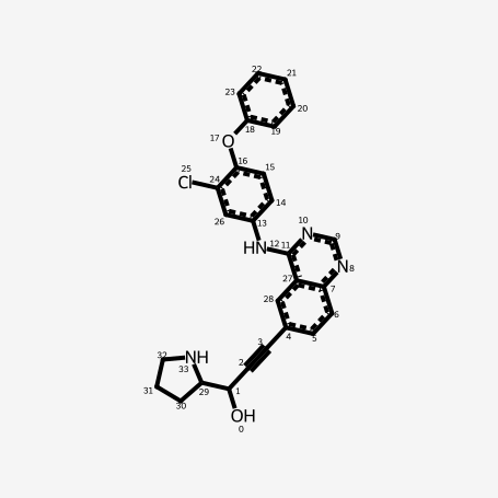 OC(C#Cc1ccc2ncnc(Nc3ccc(Oc4ccccc4)c(Cl)c3)c2c1)C1CCCN1